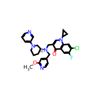 COc1cc(CN(Cc2cn(C3CC3)c3cc(Cl)c(F)cc3c2=O)[C@H]2CCCN(c3cccnc3)C2)ccn1